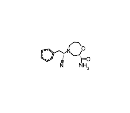 N#C[C@H](Cc1ccccc1)N1CCCO[C@H](C(N)=O)C1